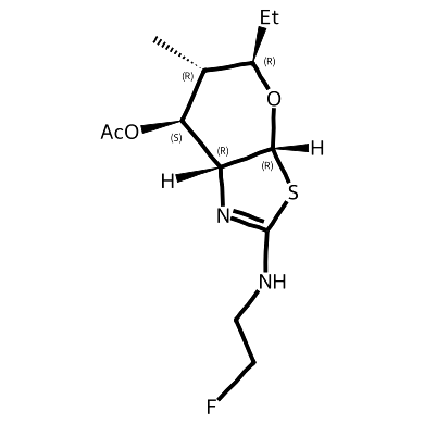 CC[C@H]1O[C@@H]2SC(NCCF)=N[C@@H]2[C@@H](OC(C)=O)[C@@H]1C